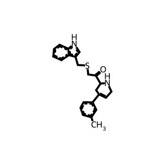 Cc1cccc(C2=CCNC(C(=O)CSCc3c[nH]c4ccccc34)C2)c1